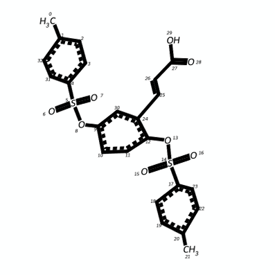 Cc1ccc(S(=O)(=O)Oc2ccc(OS(=O)(=O)c3ccc(C)cc3)c(C=CC(=O)O)c2)cc1